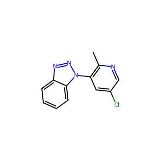 Cc1ncc(Cl)cc1-n1nnc2ccccc21